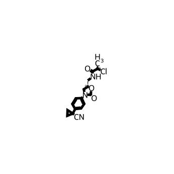 C[C@@H](Cl)C(=O)NC[C@H]1CN(c2ccc(C3(C#N)CC3)cc2)C(=O)O1